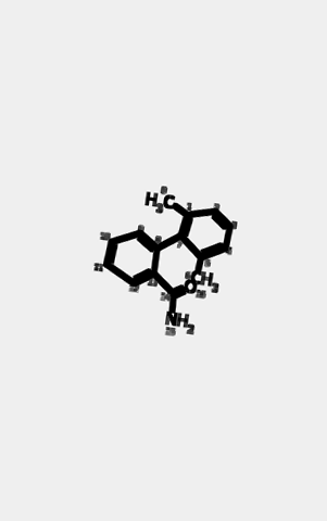 Cc1cccc(C)c1-c1ccccc1C(N)=O